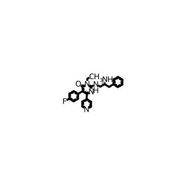 CCn1c(NC[C@H](N)Cc2ccccc2)nc(-c2ccncc2)c(-c2ccc(F)cc2)c1=O